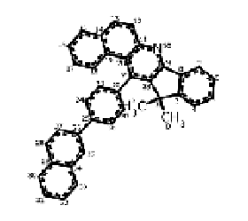 CC1(C)c2ccccc2-c2nc3ccc4ccccc4c3c(-c3ccc(-c4ccc5ccccc5c4)cc3)c21